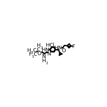 CC(C)(OC[C@H](N)c1nc2cc([C@H](NC(=O)CC34CC(F)(C3)C4)C3CC3)ccc2[nH]1)C(F)(F)F.Cl